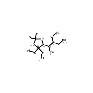 BC[C@H](OC(C)(C)C)C(C(C)CC)[C@@H]1OC(C)(C)OC1(CO)CO